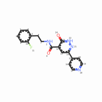 O=C(NCCc1ccccc1F)c1cc(-c2ccncc2)n[nH]c1=O